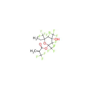 C=C(C(=O)OC1(C(F)(F)F)OC(CC)(C(F)(F)F)C(F)(F)C(O)(C(F)(F)F)C1(F)F)C(F)(F)F